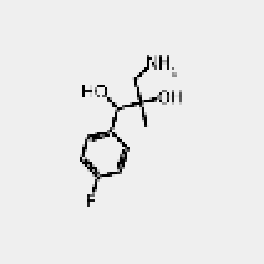 CC(O)(CN)C(O)c1ccc(F)cc1